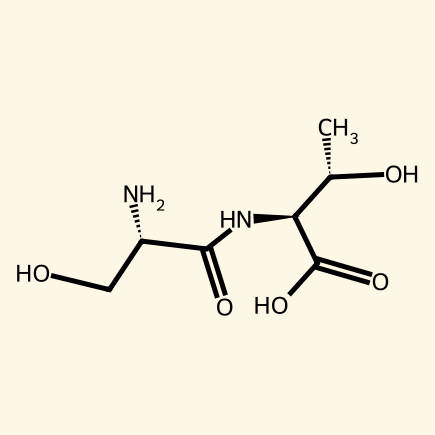 C[C@H](O)[C@H](NC(=O)[C@@H](N)CO)C(=O)O